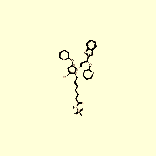 CS(=O)(=O)NC(=O)CCCC=CC[C@@H]1[C@@H](C=C[C@@H](OC2CCCCO2)c2cc3ccccc3s2)[C@H](OC2CCCCO2)C[C@@H]1O